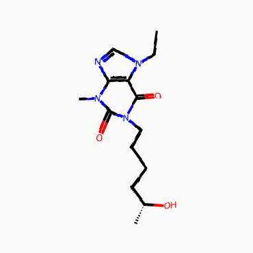 CCn1cnc2c1c(=O)n(CCCC[C@@H](C)O)c(=O)n2C